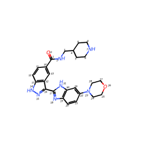 O=C(NCC1CCNCC1)c1ccc2[nH]nc(-c3nc4ccc(N5CCOCC5)cc4[nH]3)c2c1